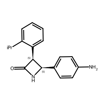 CC(C)c1ccccc1[C@@H]1C(=O)N[C@@H]1c1ccc(N)cc1